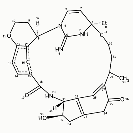 CC[C@@]12C=CN(C(=N)N1)[C@@H]1CCOc3ccc(cc31)C(=O)N[C@@H]1C3=C(CC(=O)C(=C3)C(C)CCC2)C[C@H]1O